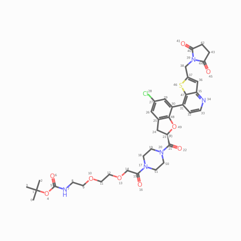 CC(C)(C)OC(=O)NCCOCCOCC(=O)N1CCN(C(=O)[C@H]2Cc3cc(Cl)cc(-c4ccnc5cc(CN6C(=O)CCC6=O)sc45)c3O2)CC1